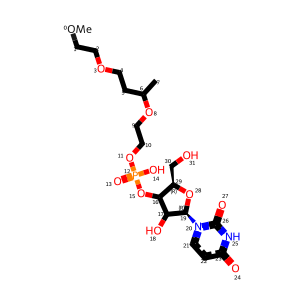 COCCOCCC(C)OCCOP(=O)(O)OC1C(O)[C@H](n2ccc(=O)[nH]c2=O)O[C@@H]1CO